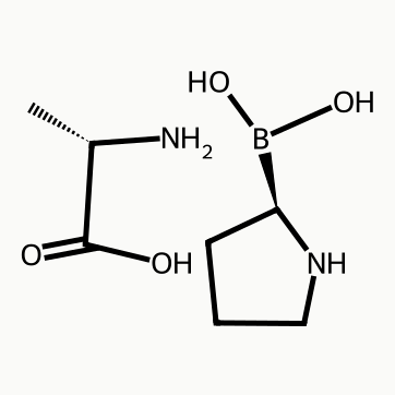 C[C@H](N)C(=O)O.OB(O)[C@@H]1CCCN1